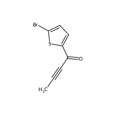 CC#CC(=O)c1ccc(Br)s1